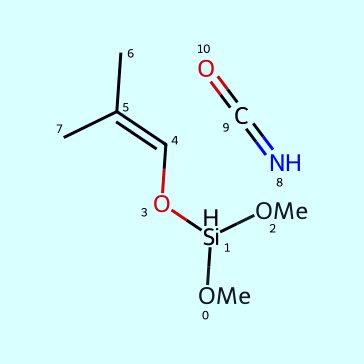 CO[SiH](OC)OC=C(C)C.N=C=O